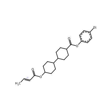 C/C=C/C(=O)OC1CCC(C2CCC(C(=O)Oc3ccc(CC)cc3)CC2)CC1